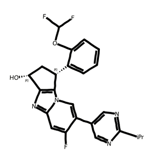 CC(C)c1ncc(-c2cn3c4c(nc3cc2F)[C@H](O)C[C@@H]4c2ccccc2OC(F)F)cn1